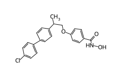 CC(COc1ccc(C(=O)NO)cc1)c1ccc(-c2ccc(Cl)cc2)cc1